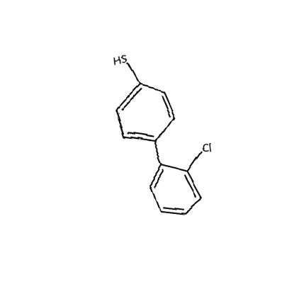 Sc1ccc(-c2ccccc2Cl)cc1